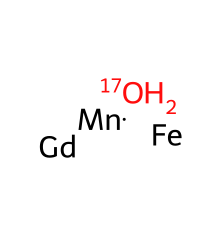 [17OH2].[Fe].[Gd].[Mn]